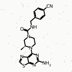 C[C@H]1CN(C(=O)NCc2ccc(C#N)cc2)CCN1c1nc(N)nc2scnc12